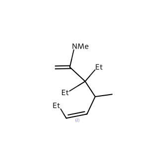 C=C(NC)C(CC)(CC)C(C)/C=C\CC